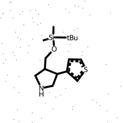 CC(C)(C)[Si](C)(C)OCC1CNCC1c1ccsc1